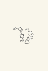 OC1CC2CC1N(c1ccc(Nc3nccc(N[C@H]4C5CC6CC4C[C@](O)(C6)C5)n3)cc1)C2